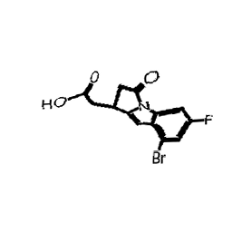 O=C(O)CC1CC(=O)n2c1cc1c(Br)cc(F)cc12